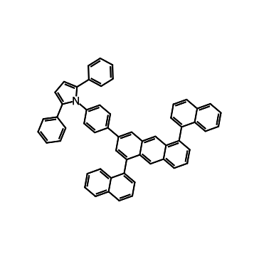 c1ccc(-c2ccc(-c3ccccc3)n2-c2ccc(-c3cc(-c4cccc5ccccc45)c4cc5cccc(-c6cccc7ccccc67)c5cc4c3)cc2)cc1